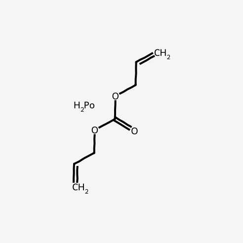 C=CCOC(=O)OCC=C.[PoH2]